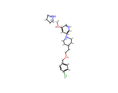 Clc1ccc(COCCC2CCN(c3cncc(OC[C@@H]4CCCN4)c3)CC2)cc1